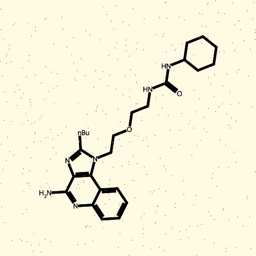 CCCCc1nc2c(N)nc3ccccc3c2n1CCOCCNC(=O)NC1CCCCC1